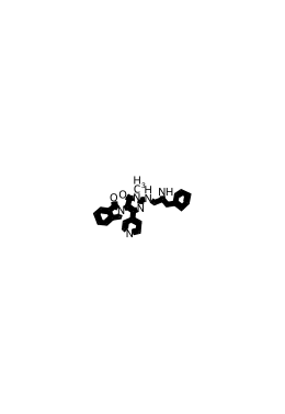 Cn1c(NCC(N)Cc2ccccc2)nc(-c2ccncc2)c(N2Cc3ccccc3C2=O)c1=O